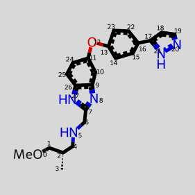 COC[C@@H](C)CNCc1nc2cc(Oc3ccc(-c4ccn[nH]4)cc3)ccc2[nH]1